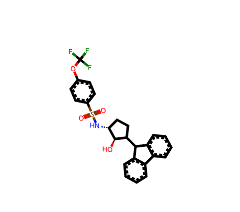 O=S(=O)(N[C@@H]1CCC(C2c3ccccc3-c3ccccc32)[C@H]1O)c1ccc(OC(F)(F)F)cc1